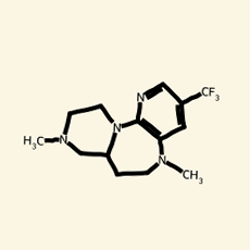 CN1CCN2c3ncc(C(F)(F)F)cc3N(C)CCC2C1